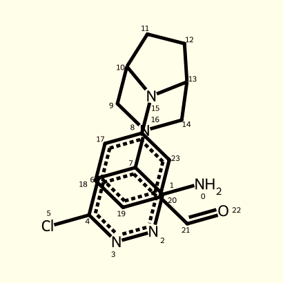 Nc1nnc(Cl)cc1N1CC2CCC(C1)N2c1cccc(C=O)c1